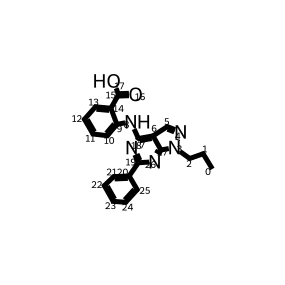 CCCn1ncc2c(Nc3ccccc3C(=O)O)nc(-c3ccccc3)nc21